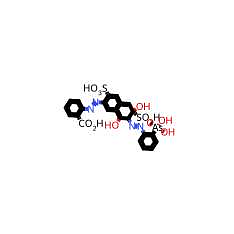 O=C(O)c1ccccc1/N=N/c1cc2c(cc1S(=O)(=O)O)=CC(O)(S(=O)(=O)O)C(/N=N/c1ccccc1[As](=O)(O)O)C=2O